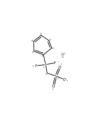 O=S(=O)([O-])CS(F)(F)c1ccccc1.[Li+]